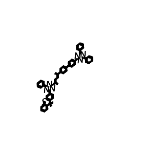 C/C(=C\C=C(/C)c1nc(-c2ccccc2)nc(-c2ccc3c(c2)Sc2ccccc2C3(C)C)n1)c1ccc(-c2ccc(-c3nc(C4=CCCC=C4)nc(-c4ccccc4)n3)cc2)cc1